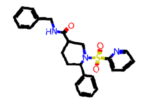 O=C(NCc1ccccc1)C1CCC(c2ccccc2)N(S(=O)(=O)c2ccccn2)C1